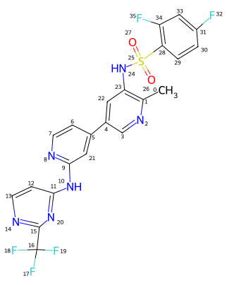 Cc1ncc(-c2ccnc(Nc3ccnc(C(F)(F)F)n3)c2)cc1NS(=O)(=O)c1ccc(F)cc1F